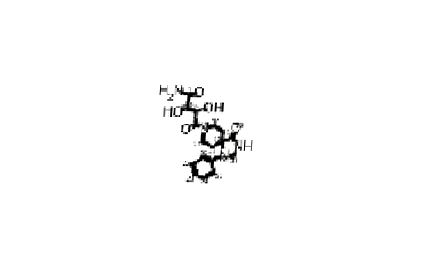 NC(=O)[C@H](O)[C@@H](O)C(=O)N1CCC2(CC1)C(=O)NCN2c1ccccc1